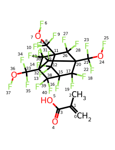 C=C(C)C(=O)O.FOC(F)(F)C12C(F)(F)C3(F)C(F)(F)C(C(F)(F)OF)(C1(F)F)C(F)(F)C(C(F)(F)OF)(C3(F)F)C2(F)F